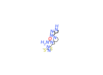 CSc1nsc(C2CC3(CCCN(c4ncnc5[nH]ccc45)C3)N2C(N)=O)n1